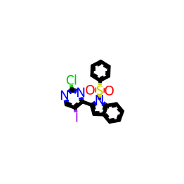 O=S(=O)(c1ccccc1)n1c(-c2nc(Cl)ncc2I)cc2ccccc21